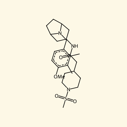 COc1ccc(CN2C3CCC2CC(NC(=O)CC2CCN(S(C)(=O)=O)CC2)C3)c(C)c1C